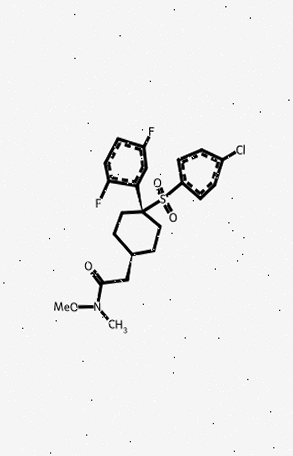 CON(C)C(=O)C[C@H]1CC[C@](c2cc(F)ccc2F)(S(=O)(=O)c2ccc(Cl)cc2)CC1